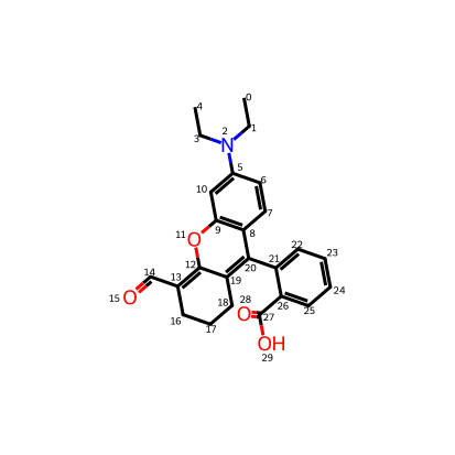 CCN(CC)c1ccc2c(c1)OC1=C(C=O)CCCC1=C2c1ccccc1C(=O)O